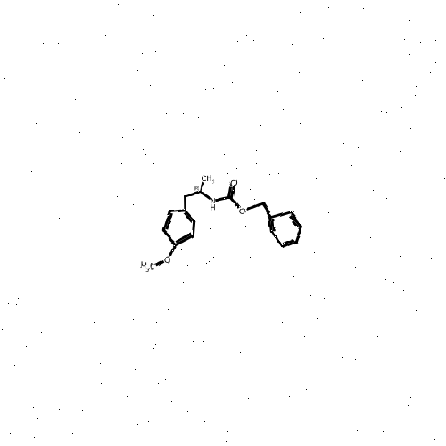 COc1ccc(C[C@@H](C)NC(=O)OCc2ccccc2)cc1